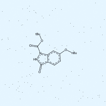 CCCCOc1ccc2c(=O)[nH]n(C(=O)OC(C)(C)C)c2c1